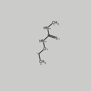 CCONC(=S)NC